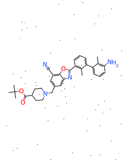 Cc1c(N)cccc1-c1cccc(-c2nc3cc(CN4CCC(C(=O)OC(C)(C)C)CC4)cc(C#N)c3o2)c1C